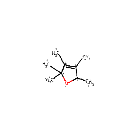 CC1=C(C)C(C)(C)OC1C